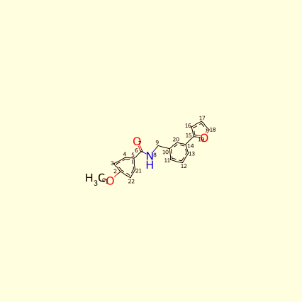 COc1ccc(C(=O)NCc2cccc(-c3ccco3)c2)cc1